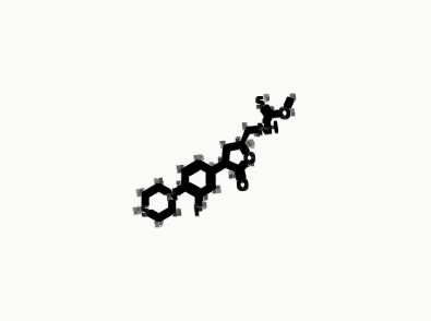 COC(=S)NC[C@@H]1CC(c2ccc(N3CCSCC3)c(F)c2)C(=O)O1